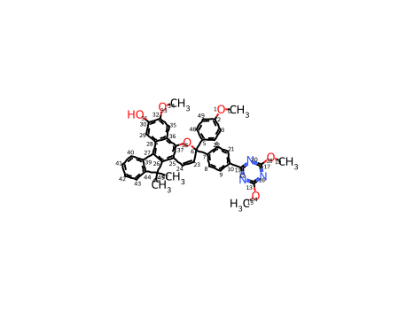 COc1ccc(C2(c3ccc(-c4nc(OC)nc(OC)n4)cc3)C=Cc3c4c(c5cc(O)c(OC)cc5c3O2)-c2ccccc2C4(C)C)cc1